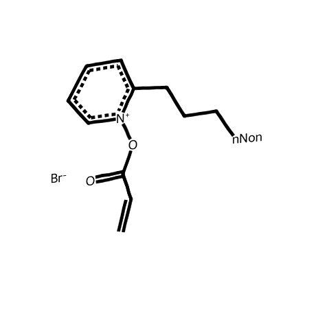 C=CC(=O)O[n+]1ccccc1CCCCCCCCCCCC.[Br-]